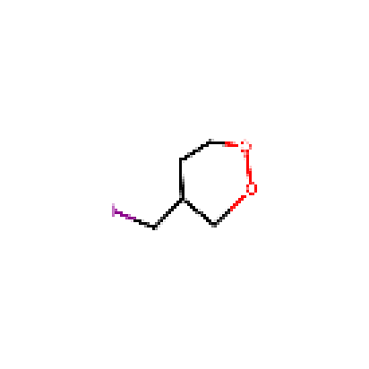 ICC1CCOOC1